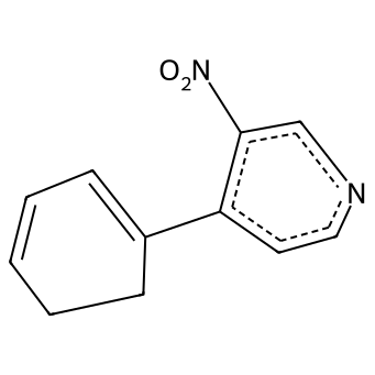 O=[N+]([O-])c1cnccc1C1=CC=CCC1